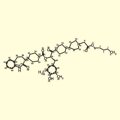 CCCCCOC(=O)CN1CCC(C2CCN(C(=O)[C@@H](Cc3cc(C)c(O)c(C)c3)OC(=O)N3CCC(N4CCc5ccccc5NC4=O)CC3)CC2)CC1